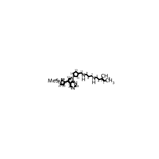 C/C=C(\C)CCNCCCNCC1CC[C@H](n2cc(-c3ccn(SC)n3)c3cncnc32)C1